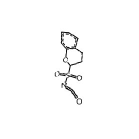 O=C=NS(=O)(=O)C1CCc2ccccc2O1